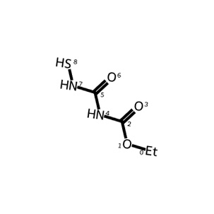 CCOC(=O)NC(=O)NS